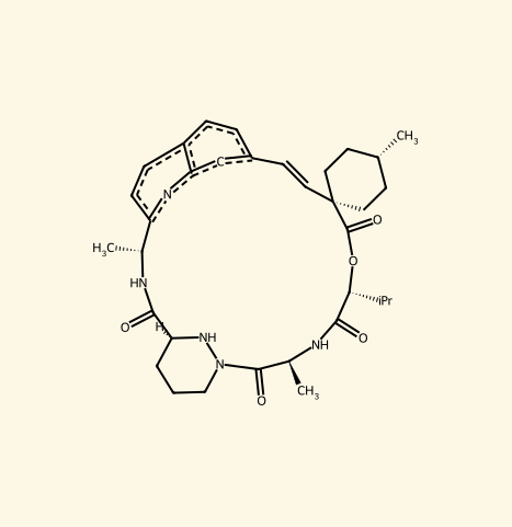 CC(C)[C@H]1OC(=O)[C@]2(/C=C/c3ccc4ccc(nc4c3)[C@@H](C)NC(=O)[C@@H]3CCCN(N3)C(=O)[C@H](C)NC1=O)CC[C@@H](C)CC2